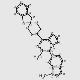 Cc1nc(N2CCC3(CC2)Cc2cccnc2C3)c2ccnn2c1-c1ccc2ccn(C)c2c1